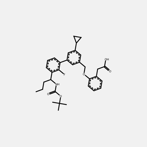 CCCC(NC(=O)OC(C)(C)C)c1cccc(-c2cc(COc3ccccc3CC(=O)O)cc(C3CC3)c2)c1F